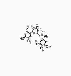 COc1cc2c(cc1O)CCCC(C(=O)N1CCN(C(=O)c3cc(OC)c(OC)c(OC)c3)CC1)=C2